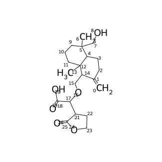 C=C1CCC2C(C)(CO)CCCC2(C)C1COC(C(=O)O)C1CCOC1=O